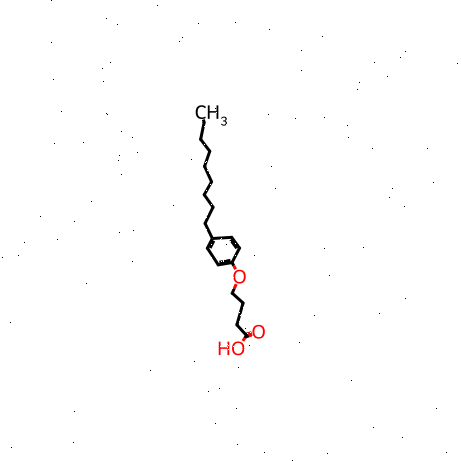 CCCCCCCCCc1ccc(OCCCC(=O)O)cc1